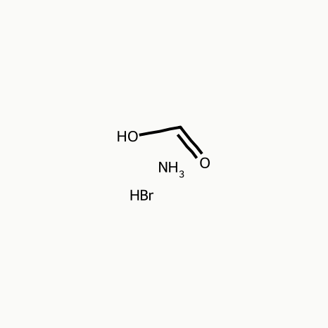 Br.N.O=CO